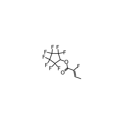 CC=C(F)C(=O)OC1C(F)(F)C(F)(F)C(F)(F)C1(F)F